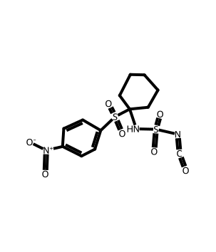 O=C=NS(=O)(=O)NC1(S(=O)(=O)c2ccc([N+](=O)[O-])cc2)CCCCC1